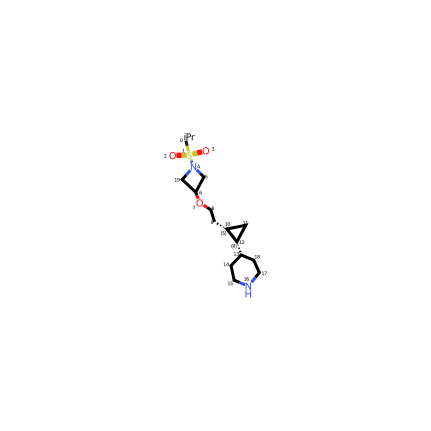 CC(C)S(=O)(=O)N1CC(OCC[C@@H]2C[C@@H]2C2CCNCC2)C1